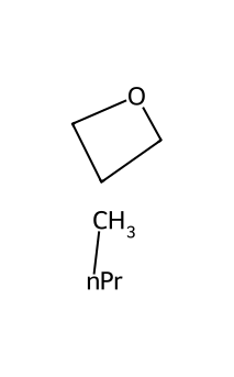 C1COC1.CCCC